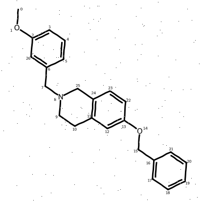 COc1cccc(CN2CCc3cc(OCc4ccccc4)ccc3C2)c1